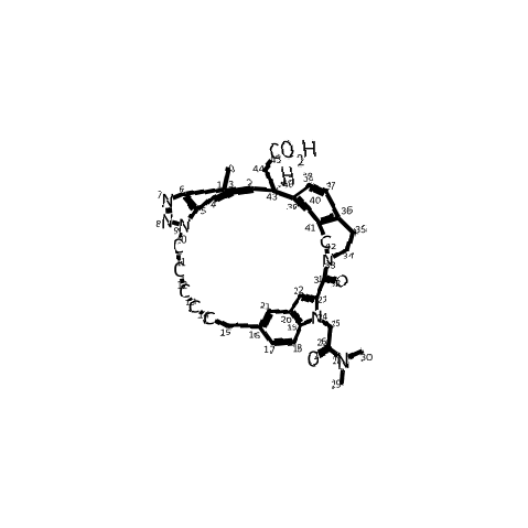 Cc1c2ccc3c1nnn3CCCCCCc1ccc3c(c1)cc(n3CC(=O)N(C)C)C(=O)N1CCc3ccc(cc3C1)[C@@H]2CC(=O)O